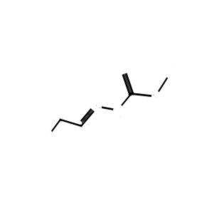 CCC=NOC(=O)NC